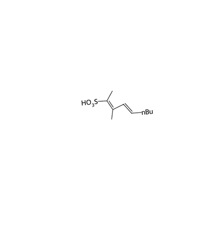 CCCC/C=C/C(C)=C(\C)S(=O)(=O)O